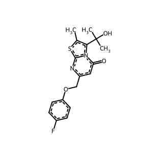 Cc1sc2nc(COc3ccc(F)cc3)cc(=O)n2c1C(C)(C)O